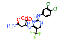 NC(=O)CC(Nc1nc(Nc2ccc(Cl)c(Cl)c2)ncc1C(F)(F)F)C(=O)O